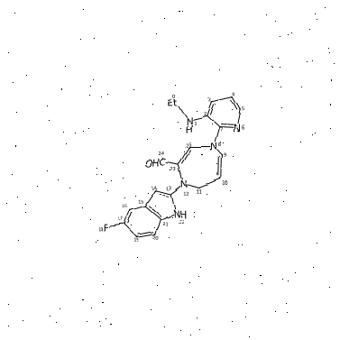 CCNc1cccnc1N1C=CCN(c2cc3cc(F)ccc3[nH]2)C(C=O)=C1